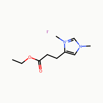 CCOC(=O)CCc1cn(C)c[n+]1C.[I-]